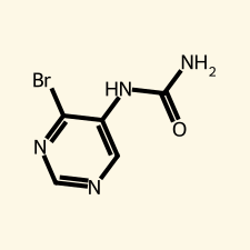 NC(=O)Nc1cncnc1Br